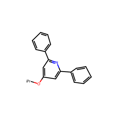 CC(C)Oc1cc(-c2ccccc2)nc(-c2ccccc2)c1